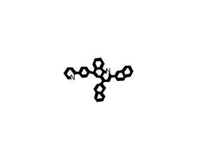 c1ccc(-c2ccc(-c3cc4c(-c5ccc6ccccc6c5)cc(-c5ccc6ccccc6c5)nc4c4ccccc34)cc2)nc1